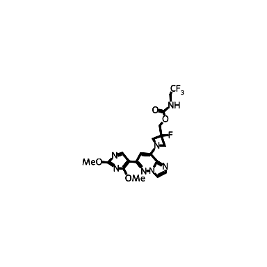 COc1ncc(-c2cc(N3CC(F)(COC(=O)NCC(F)(F)F)C3)c3nccn3n2)c(OC)n1